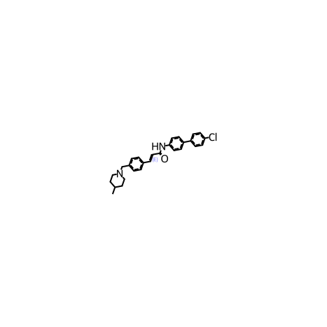 CC1CCN(Cc2ccc(/C=C/C(=O)Nc3ccc(-c4ccc(Cl)cc4)cc3)cc2)CC1